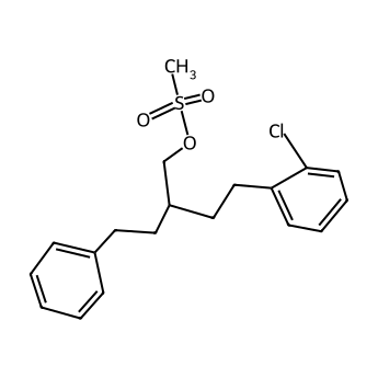 CS(=O)(=O)OCC(CCc1ccccc1)CCc1ccccc1Cl